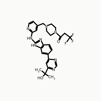 CC(C)(O)c1cc(-c2ccc3nc(Nc4cc(CN5CCN(C(=O)CC(F)(F)F)CC5)ccn4)[nH]c3c2)ncn1